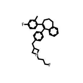 Cc1cc(F)ccc1C1=C(c2ccc(CC3CN(CCCF)C3)cc2)c2ccccc2CCC1